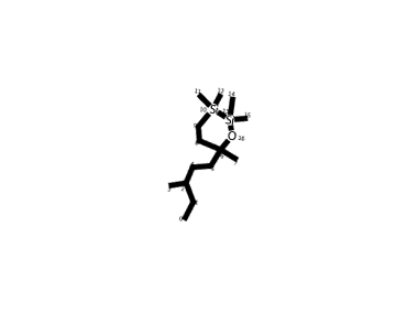 CCC(C)CCC1(C)CC[Si](C)(C)[Si](C)(C)O1